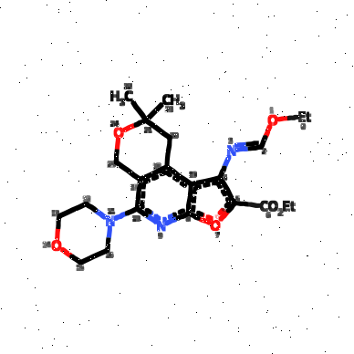 CCOC=Nc1c(C(=O)OCC)oc2nc(N3CCOCC3)c3c(c12)CC(C)(C)OC3